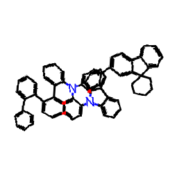 c1ccc(-c2ccccc2-c2ccccc2-c2ccccc2N(c2ccc(-c3ccc4c(c3)C3(CCCCC3)c3ccccc3-4)cc2)c2ccccc2-n2c3ccccc3c3ccccc32)cc1